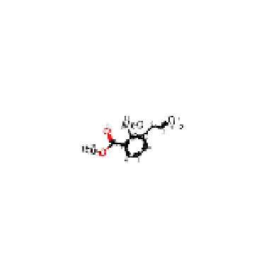 C=CCc1cccc(C(=O)OC(C)(C)C)c1OC